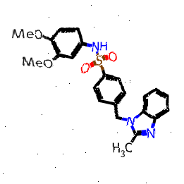 COc1ccc(NS(=O)(=O)c2ccc(Cn3c(C)nc4ccccc43)cc2)cc1OC